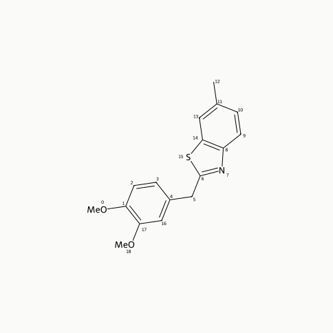 COc1ccc(Cc2nc3ccc(C)cc3s2)cc1OC